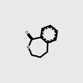 O=C1[N]CCCc2ccccc21